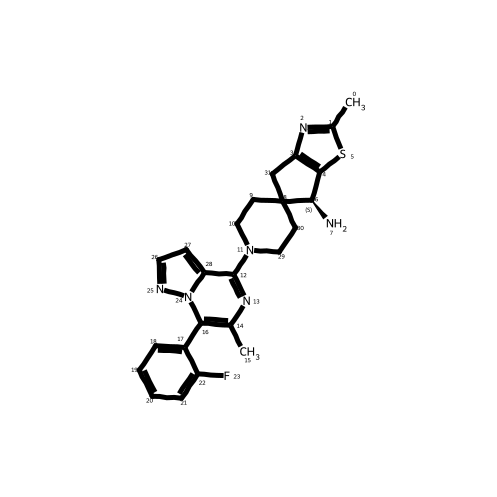 Cc1nc2c(s1)[C@@H](N)C1(CCN(c3nc(C)c(-c4ccccc4F)n4nccc34)CC1)C2